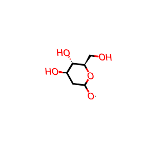 [O]C1C[C@@H](O)[C@H](O)[C@@H](CO)O1